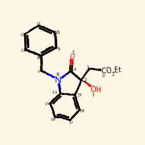 CCOC(=O)C[C@@]1(O)C(=O)N(Cc2ccccc2)c2ccccc21